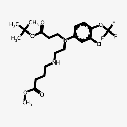 COC(=O)CCCNCCN(CCC(=O)OC(C)(C)C)c1ccc(OC(F)(F)F)c(Cl)c1